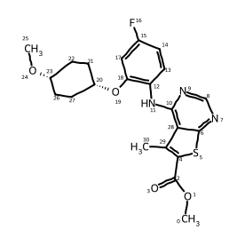 COC(=O)c1sc2ncnc(Nc3ccc(F)cc3O[C@H]3CC[C@@H](OC)CC3)c2c1C